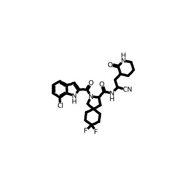 N#CC(CC1CCCNC1=O)NC(=O)C1CC2(CCC(F)(F)CC2)CN1C(=O)c1cc2cccc(Cl)c2[nH]1